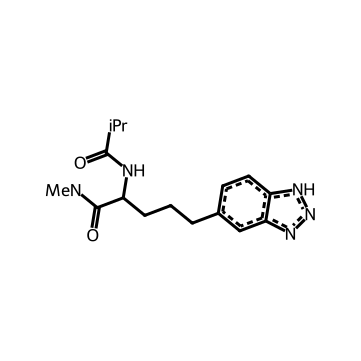 CNC(=O)C(CCCc1ccc2[nH]nnc2c1)NC(=O)C(C)C